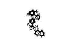 O=C(NC1CCN2CCCCC2C1)c1cnn2ccc(N3CCC[C@@H]3c3cc(F)ccc3F)cc12